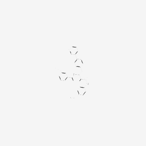 CCN(Nc1ccc(OC)cc1)C(=O)C(Cc1ccc(-c2cccnc2)cc1)NC(=O)c1cccc(C)c1